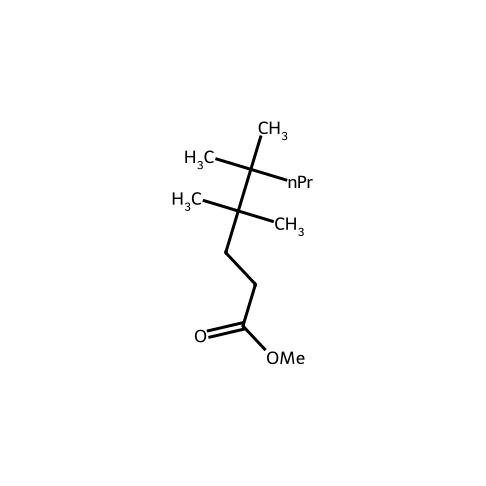 CCCC(C)(C)C(C)(C)CCC(=O)OC